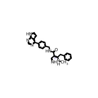 CN/C(Cc1ccccc1)=C(\C=N)C(=O)NCc1ccc(-c2ncnc3[nH]ccc23)cc1